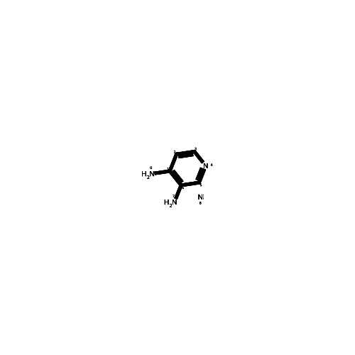 Nc1ccncc1N.[N]